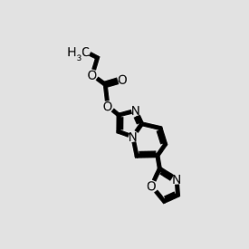 CCOC(=O)Oc1cn2cc(-c3ncco3)ccc2n1